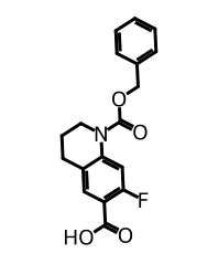 O=C(O)c1cc2c(cc1F)N(C(=O)OCc1ccccc1)CCC2